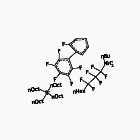 CCCCCCC(F)(F)C(F)(F)C(F)(F)[NH2+]CCCC.CCCCCCCC[B-](CCCCCCCC)(CCCCCCCC)CCCCCCCC.Fc1ccccc1-c1c(F)c(F)c(F)c(F)c1F